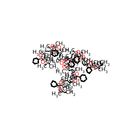 C=C[Si](C)(C)O[Si](C)(O[Si](C)(C)CC[Si](C)(C)O[Si](C)(O[Si](C)(C)CC[Si](C)(C)O[Si](O[Si](C)(C)CC[Si](C)(C)O[Si](C)(O[Si](C)(C)CC[Si](C)(C)O[Si](C)(O[Si](C)(C)C=C)c1ccccc1)c1ccccc1)(O[Si](C)(C)CC[Si](C)(C)O[Si](C)(O[Si](C)(C)CC[Si](C)(C)O[Si](C)(O[Si](C)(C)C=C)c1ccccc1)c1ccccc1)c1ccccc1)c1ccccc1)c1ccccc1